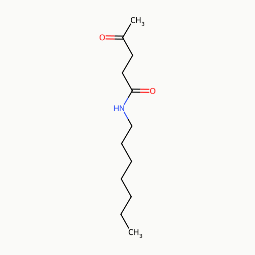 CCCCCCCNC(=O)CCC(C)=O